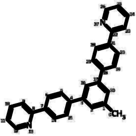 Cc1cc(-c2ccc(-c3ccccn3)cc2)cc(-c2ccc(-c3ccccn3)cc2)c1